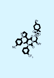 CCCC(CNS(=O)(=O)C1(C)CCC(C(C)C)CC1)n1c(=O)c(-c2ccnn2-c2ccc(C#N)cc2)c(C)n(-c2cccc(C(F)(F)F)c2)c1=O